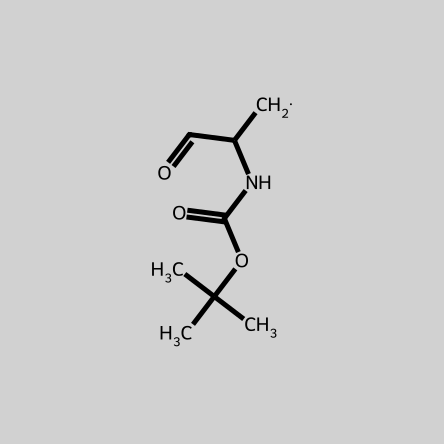 [CH2]C(C=O)NC(=O)OC(C)(C)C